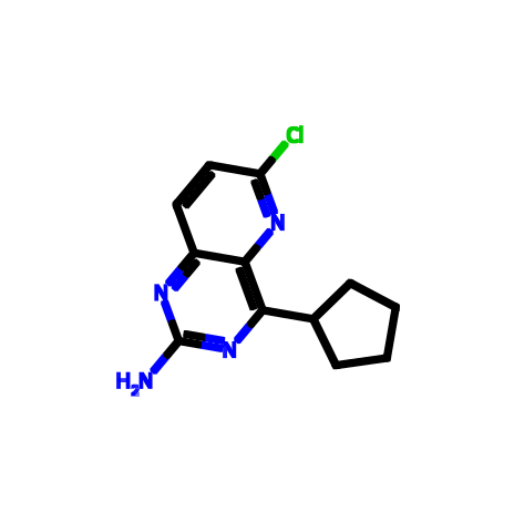 Nc1nc(C2CCCC2)c2nc(Cl)ccc2n1